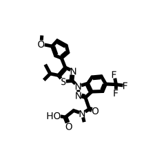 COc1cccc(-c2nc(-n3nc(C(=O)N(C)CC(=O)O)c4cc(C(F)(F)F)ccc43)sc2C(C)C)c1